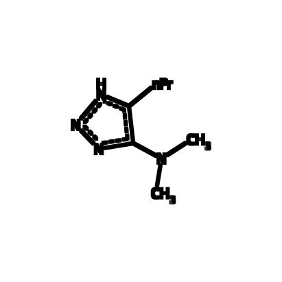 CCCc1[nH]nnc1N(C)C